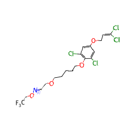 FC(F)(F)CO/N=C/COCCCCCOc1c(Cl)cc(OCC=C(Cl)Cl)cc1Cl